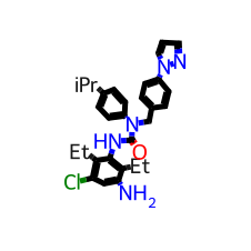 CCc1c(N)cc(Cl)c(CC)c1NC(=O)N(Cc1ccc(-n2cccn2)cc1)c1ccc(C(C)C)cc1